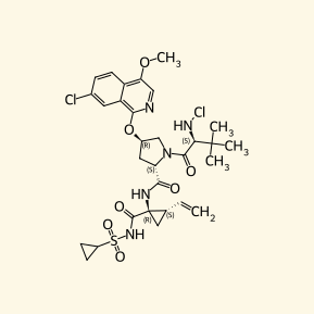 C=C[C@@H]1C[C@]1(NC(=O)[C@@H]1C[C@@H](Oc2ncc(OC)c3ccc(Cl)cc23)CN1C(=O)[C@@H](NCl)C(C)(C)C)C(=O)NS(=O)(=O)C1CC1